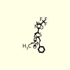 CCS(=O)(=O)N(Cc1ncc(-c2nnc(C(F)(F)F)o2)s1)c1ccccc1